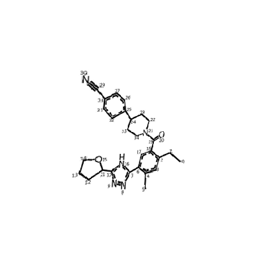 CCc1cc(C)c(-c2nnc(C3CCCO3)[nH]2)cc1C(=O)N1CCC(c2ccc(C#N)cc2)CC1